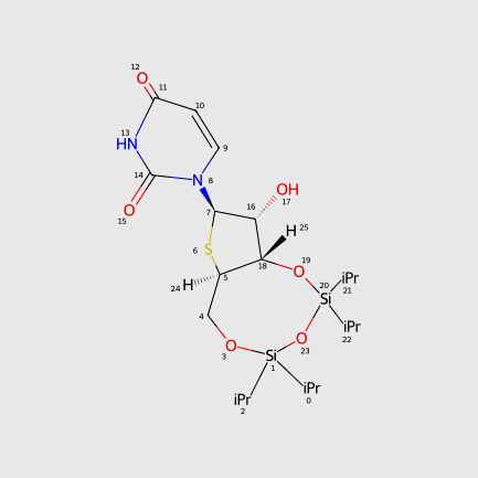 CC(C)[Si]1(C(C)C)OC[C@H]2S[C@@H](n3ccc(=O)[nH]c3=O)[C@H](O)[C@@H]2O[Si](C(C)C)(C(C)C)O1